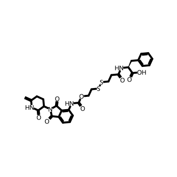 C=C1CCC(N2C(=O)c3cccc(NC(=O)OCCSSCCC(=O)N[C@@H](Cc4ccccc4)C(=O)O)c3C2=O)C(=O)N1